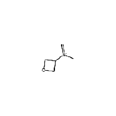 C=[N+](C)C1COC1